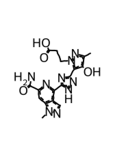 Cc1nn(CCC(=O)O)c(-c2n[nH]c(-c3nc(C(N)=O)cc4c3cnn4C)n2)c1O